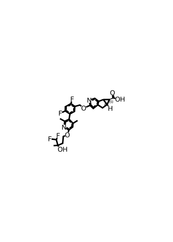 Cc1cc(OCCC(C)(O)C(F)F)nc(C)c1-c1cc(COc2cc3c(cn2)C2[C@@H](C3)[C@@H]2C(=O)O)c(F)cc1F